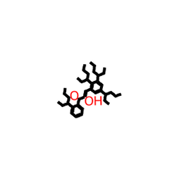 CCCC(CC)c1cc(C=C(O)C(=O)c2ccccc2C(CC)CCC)c(C(CC)CCC)c(C(CC)CCC)c1